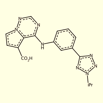 CC(C)n1nnc(-c2cccc(Nc3ncnn4ccc(C(=O)O)c34)c2)n1